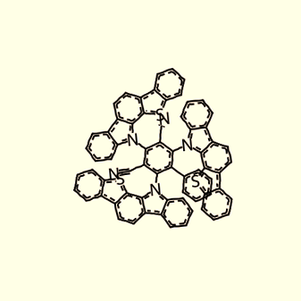 N#Cc1c(-n2c3ccccc3c3ccc4c5ccccc5sc4c32)c(C#N)c(-n2c3ccccc3c3ccc4c5ccccc5sc4c32)c(-c2ccccc2)c1-n1c2ccccc2c2ccc3c4ccccc4sc3c21